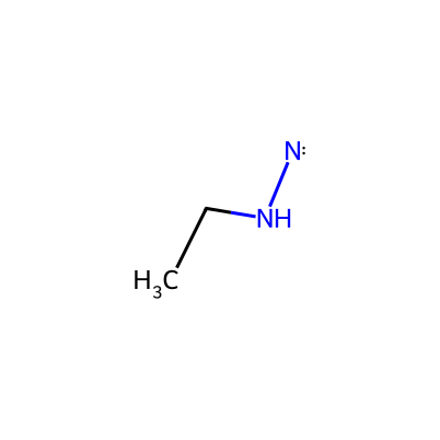 CCN[N]